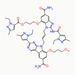 CCn1nc(C)cc1C(=O)Nc1nc2cc(C(N)=O)cc(OCCCOC(=O)c3cc(C)nn3CC)c2n1C/C=C/Cn1c2nc(-c3cc(C)nn3CC)ncc2c2cc(C(N)=O)cc(OCCCOC)c21